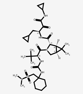 CN(C)S(=O)(=O)CC1(NC(=O)N[C@H](C(=O)N2C[C@H]3[C@@H]([C@H]2C(=O)N[C@@H](CC2CC2)C(=O)C(=O)NC2CC2)C3(C)C)C(C)(C)C)CCCCC1